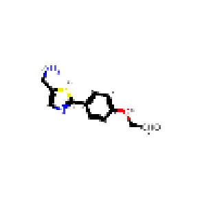 NCc1cnc(-c2ccc(OCC=O)cc2)s1